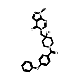 CC(C)n1ncc2c(=O)n(CC3(O)CCN(C(=O)c4ccc(Oc5ccccc5)cc4)CC3)cnc21